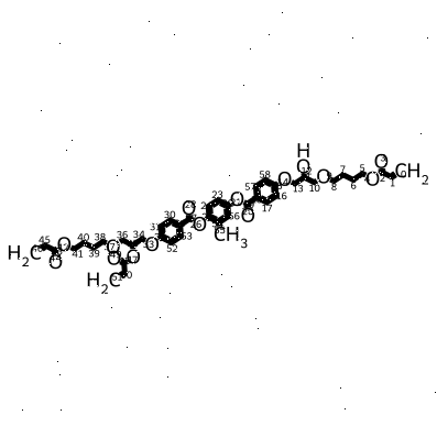 C=CC(=O)OCCCCOCC(O)COc1ccc(C(=O)Oc2ccc(OC(=O)c3ccc(OCC(COCCCCOC(=O)C=C)OC(=O)C=C)cc3)c(C)c2)cc1